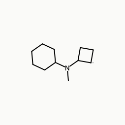 CN(C1[CH]CC1)C1CCCCC1